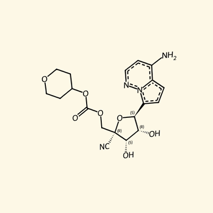 N#C[C@]1(COC(=O)OC2CCOCC2)O[C@@H](c2ccc3c(N)ccnn23)[C@H](O)[C@@H]1O